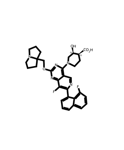 O=C(O)[C@H]1CCN(c2nc(OCC34CCCN3CCC4)nc3c(F)c(-c4cccc5cccc(F)c45)ncc23)C[C@H]1O